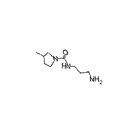 CC1CCN(C(=O)NCCCN)C1